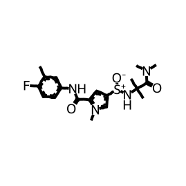 Cc1cc(NC(=O)c2cc([S+]([O-])NC(C)(C)C(=O)N(C)C)cn2C)ccc1F